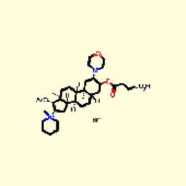 CC(=O)O[C@H]1[C@@H]([N+]2(C)CCCCC2)C[C@H]2[C@@H]3CC[C@H]4C[C@H](OC(=O)CCC(=O)O)[C@@H](N5CCOCC5)C[C@]4(C)[C@H]3CC[C@@]21C.[Br-]